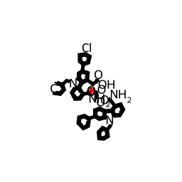 NC(=O)c1cccc2c1c1c(OCC(=O)OC(C(=O)O)c3cc(-c4ccc(Cl)cc4)cc4c3c3c(C(N)=O)cccc3n4Cc3ccccc3)cc(-c3ccccc3)cc1n2Cc1ccccc1